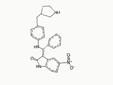 O=C1Nc2ccc([N+](=O)[O-])cc2/C1=C(/Nc1ccc(CC2CCNC2)cc1)c1ccccc1